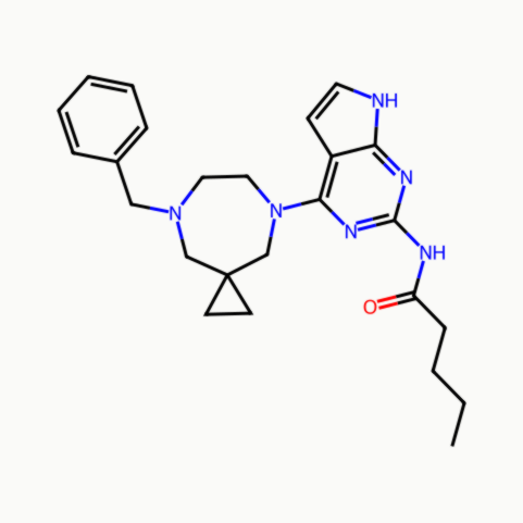 CCCCC(=O)Nc1nc(N2CCN(Cc3ccccc3)CC3(CC3)C2)c2cc[nH]c2n1